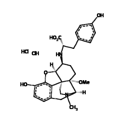 CO[C@@]12CC[C@H](N[C@@H](Cc3ccc(O)cc3)C(=O)O)[C@@H]3Oc4c(O)ccc5c4[C@@]31CCN(C)[C@@H]2C5.Cl.Cl